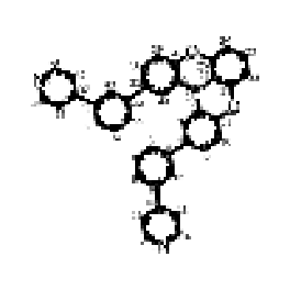 S=P12c3cc(-c4cccc(-c5ccncc5)c4)ccc3Oc3cccc(c31)Oc1ccc(-c3cccc(-c4ccncc4)c3)cc12